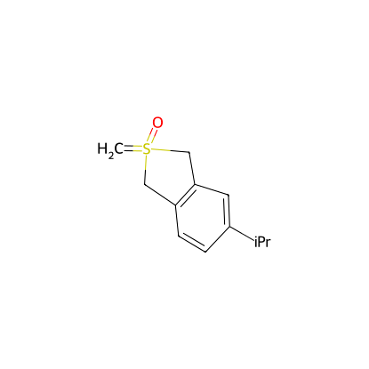 C=S1(=O)Cc2ccc(C(C)C)cc2C1